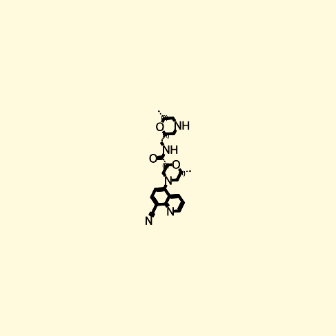 C[C@@H]1CNC[C@H](CNC(=O)[C@H]2CN(c3ccc(C#N)c4ncccc34)C[C@@H](C)O2)O1